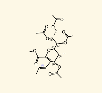 C/C=C/C1=C(C(=O)OC)O[C@@H]([C@H](OC(C)=O)[C@@H](COC(C)=O)OC(C)=O)[C@H](C)[C@H]1OC(C)=O